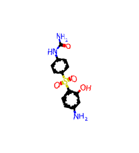 NC(=O)Nc1ccc(S(=O)(=O)c2ccc(N)cc2O)cc1